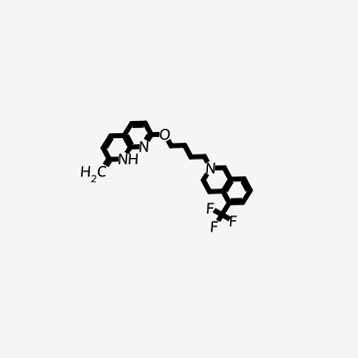 C=C1C=Cc2ccc(OCCCCN3CCc4c(cccc4C(F)(F)F)C3)nc2N1